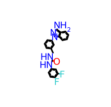 Nc1nn(-c2cccc(CNC(=O)Nc3ccc(F)c(F)c3)c2)c2ccccc12